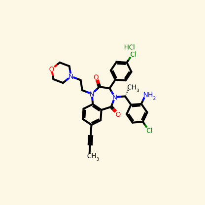 CC#Cc1ccc2c(c1)C(=O)N([C@H](C)c1ccc(Cl)cc1N)C(c1ccc(Cl)cc1)C(=O)N2CCN1CCOCC1.Cl